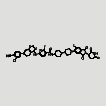 N#Cc1ccc(N2CCc3c(ncnc3Nc3ccc(C(=O)NC4CCC(N5CCN(c6cc7c(cc6F)C(=O)N(C6CCC(=O)NC6=O)C7=O)CC5)CC4)c(F)n3)C2)cc1Cl